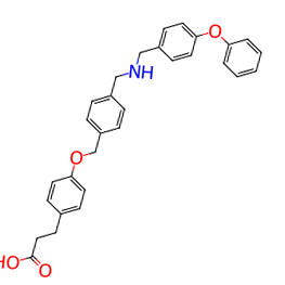 O=C(O)CCc1ccc(OCc2ccc(CNCc3ccc(Oc4ccccc4)cc3)cc2)cc1